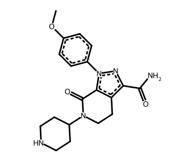 COc1ccc(-n2nc(C(N)=O)c3c2C(=O)N(C2CCNCC2)CC3)cc1